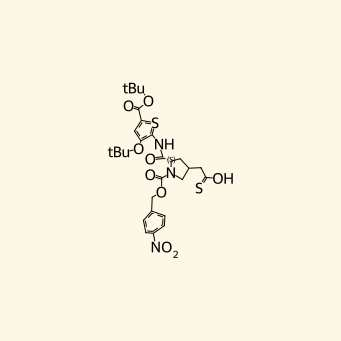 CC(C)(C)OC(=O)c1cc(OC(C)(C)C)c(NC(=O)[C@@H]2CC(CC(O)=S)CN2C(=O)OCc2ccc([N+](=O)[O-])cc2)s1